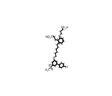 CCc1ccc(-c2cc(OCCCCCCc3cccc(OCCCC(=O)O)c3CCC(=O)O)cc(S(C)(=O)=O)c2)cc1